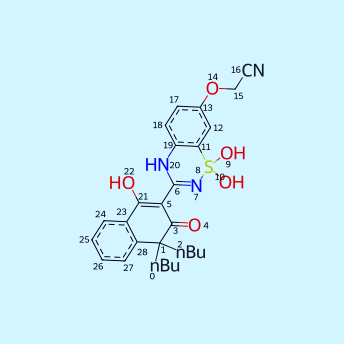 CCCCC1(CCCC)C(=O)C(C2=NS(O)(O)c3cc(OCC#N)ccc3N2)=C(O)c2ccccc21